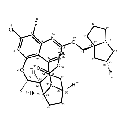 C[C@@H]1Oc2nc(Cl)c(Cl)c3nc(OC[C@@]45CCCN4C[C@H](F)C5)nc(c23)N2C[C@H]3CC[C@@H]([C@@H]12)N3C(=O)OC(C)(C)C